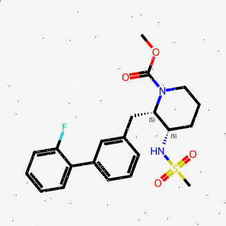 COC(=O)N1CCC[C@H](NS(C)(=O)=O)[C@@H]1Cc1cccc(-c2ccccc2F)c1